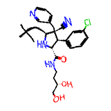 CC(C)(C)C[C@@H]1N[C@@H](C(=O)NCC[C@H](O)CO)[C@H](c2cccc(Cl)c2)[C@@]1(C#N)c1cccnc1